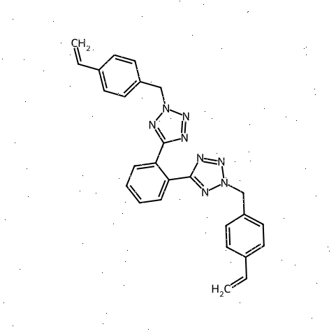 C=Cc1ccc(Cn2nnc(-c3ccccc3-c3nnn(Cc4ccc(C=C)cc4)n3)n2)cc1